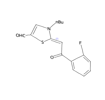 CCCCN1C=C(C=O)S/C1=C\C(=O)c1ccccc1F